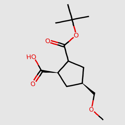 COC[C@@H]1CC(C(=O)OC(C)(C)C)[C@H](C(=O)O)C1